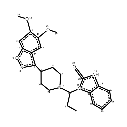 CCC(N1CCC(c2noc3cc(OC)c(OC)cc23)CC1)n1c(=O)[nH]c2ccccc21